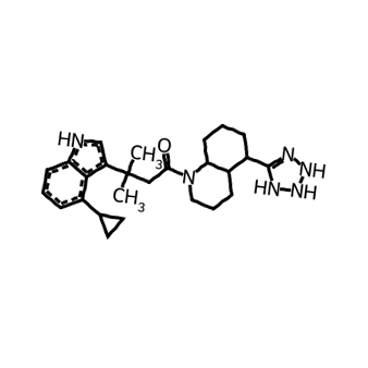 CC(C)(CC(=O)N1CCCC2C(C3=NNNN3)CCCC21)c1c[nH]c2cccc(C3CC3)c12